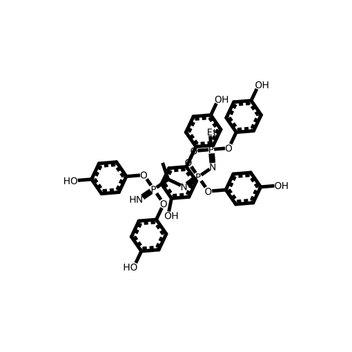 CCP(=NP(=NC(C)P(=N)(Oc1ccc(O)cc1)Oc1ccc(O)cc1)(Oc1ccc(O)cc1)Oc1ccc(O)cc1)(Oc1ccc(O)cc1)Oc1ccc(O)cc1